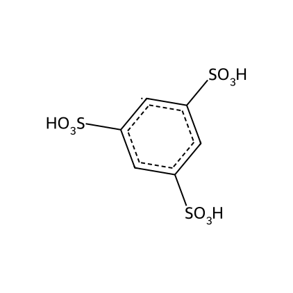 O=S(=O)(O)c1[c]c(S(=O)(=O)O)cc(S(=O)(=O)O)c1